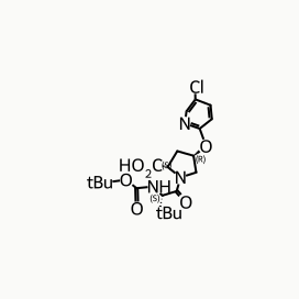 CC(C)(C)OC(=O)N[C@H](C(=O)N1C[C@H](Oc2ccc(Cl)cn2)C[C@H]1C(=O)O)C(C)(C)C